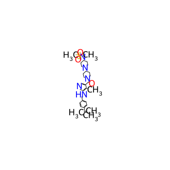 Cc1c(NCc2ccc(C(C)(C)C)cc2)cncc1C(=O)N1CCC(N2CCC(N(C)S(C)(=O)=O)CC2)CC1